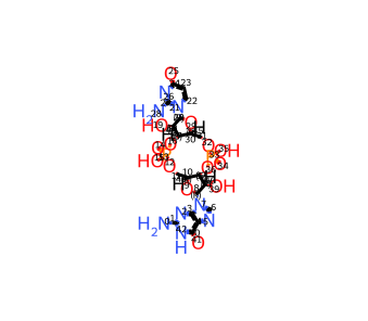 Nc1nc2c(ncn2[C@@H]2O[C@@H]3COP(=O)(O)O[C@H]4[C@@H](O)[C@H](n5ccc(=O)nc5N)O[C@@H]4COP(=O)(O)O[C@H]3[C@H]2O)c(=O)[nH]1